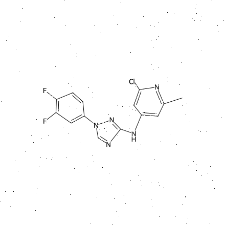 Cc1cc(Nc2ncn(-c3ccc(F)c(F)c3)n2)cc(Cl)n1